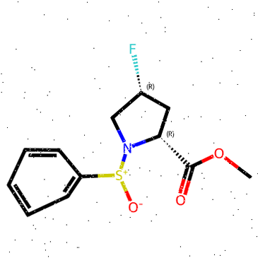 COC(=O)[C@H]1C[C@@H](F)CN1[S+]([O-])c1ccccc1